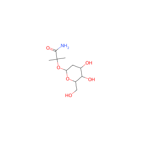 CC(C)(OC1CC(O)C(O)C(CO)O1)C(N)=O